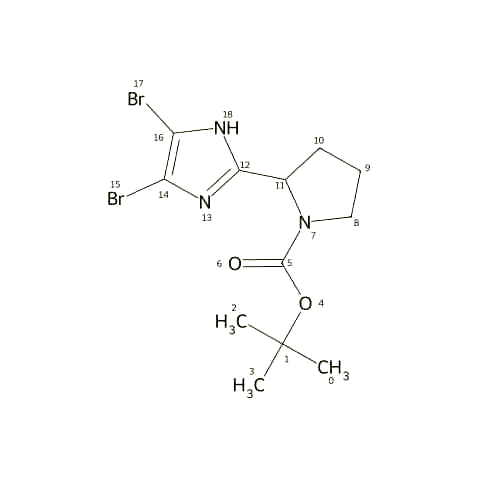 CC(C)(C)OC(=O)N1CCCC1c1nc(Br)c(Br)[nH]1